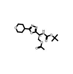 CC(=O)OC[C@H](NC(=O)OC(C)(C)C)c1nnc(C2CCOCC2)o1